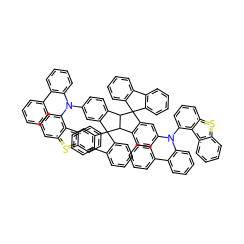 c1ccc(-c2ccccc2N(c2ccc3c(c2)C2(c4ccccc4-c4ccccc42)C2c4ccc(N(c5ccccc5-c5ccccc5)c5cccc6sc7ccccc7c56)cc4C4(c5ccccc5-c5ccccc54)C32)c2cccc3sc4ccccc4c23)cc1